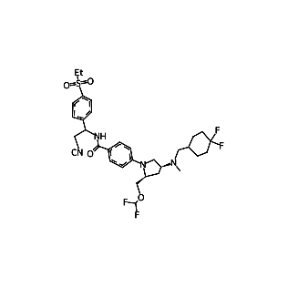 CCS(=O)(=O)c1ccc(C(CC#N)NC(=O)c2ccc(N3C[C@@H](N(C)CC4CCC(F)(F)CC4)C[C@H]3COC(F)F)cc2)cc1